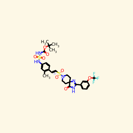 Cc1cc(NS(=O)(=O)NC(=O)OC(C)(C)C)ccc1/C=C/S(=O)(=O)N1CCC2(CC1)N=C(c1cccc(OC(F)(F)F)c1)NC2=O